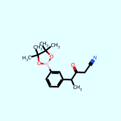 CC(C(=O)CC#N)c1cccc(B2OC(C)(C)C(C)(C)O2)c1